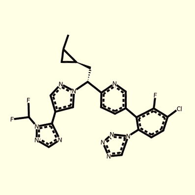 CC1C[C@@H]1C[C@H](c1ccc(-c2c(-n3cnnn3)ccc(Cl)c2F)cn1)n1cc(-c2ncnn2C(F)F)cn1